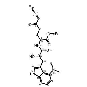 CC(C)OC(=O)[C@H](CCC(=O)C=[N+]=[N-])NC(=O)[C@@H](O)Cc1c[nH]c2cccc(N(C)C)c12